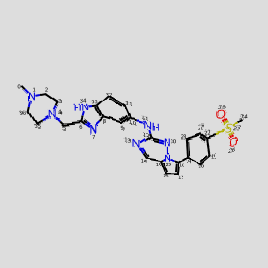 CN1CCN(Cc2nc3cc(Nc4ncc5ccc(-c6ccc(S(C)(=O)=O)cc6)n5n4)ccc3[nH]2)CC1